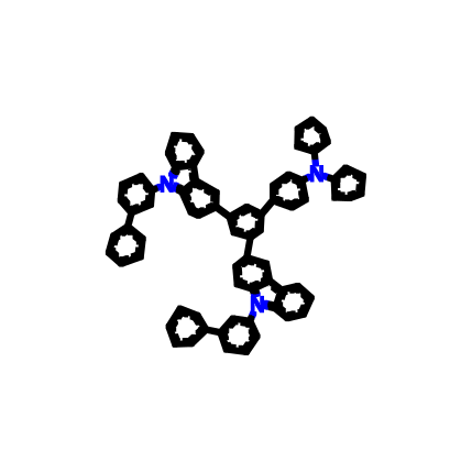 c1ccc(-c2cccc(-n3c4ccccc4c4cc(-c5cc(-c6ccc(N(c7ccccc7)c7ccccc7)cc6)cc(-c6ccc7c(c6)c6ccccc6n7-c6cccc(-c7ccccc7)c6)c5)ccc43)c2)cc1